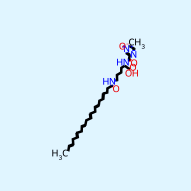 CCC=CCC=CCC=CCC=CCC=CCC=CCCC(=O)NCCCCC(NC(=O)c1c[n+]([O-])c(C)cn1)C(=O)O